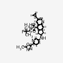 Cc1nnc(-c2ccc(NC3Cc4cc5nnc(C6CC6)cc5c(S(=O)(=O)NCC(C)(C)F)c4C3)cn2)o1